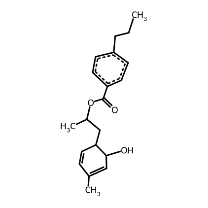 CCCc1ccc(C(=O)OC(C)CC2C=CC(C)=CC2O)cc1